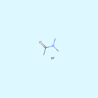 CC(=O)N(C)C.[H+]